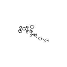 O=C(NCCCc1ccc(CCO)cc1)c1cc(NC(=O)c2cc(-c3ccccn3)c(Cl)cc2Cl)n(-c2ccccc2)n1